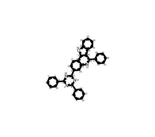 c1ccc(-c2nc(-c3ccccc3)nc(-c3ccc4c(c3)nc(-c3ccccc3)c3c5ccccc5oc43)n2)cc1